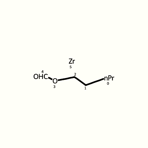 CCCCCOC=O.[Zr]